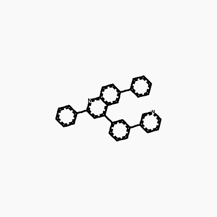 c1ccc(-c2ccc3nc(-c4ccccc4)cc(-c4cccc(-c5cccnc5)c4)c3c2)cc1